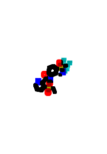 CCS(=O)(=O)c1cccnc1-c1nc2cc(S(=O)(=NC)C(F)(F)F)ccc2o1